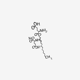 CCCCCCCCCCCCCCOC(=O)C(N)CCC(=O)O.NC(CCC(=O)O)C(=O)O